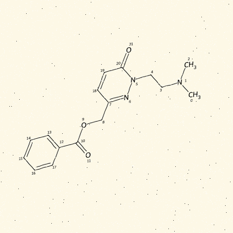 CN(C)CCn1nc(COC(=O)c2ccccc2)ccc1=O